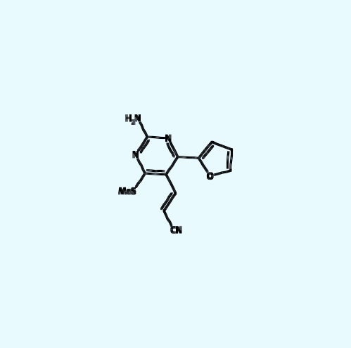 CSc1nc(N)nc(-c2ccco2)c1C=CC#N